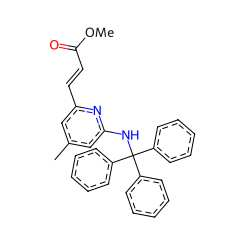 COC(=O)/C=C/c1cc(C)cc(NC(c2ccccc2)(c2ccccc2)c2ccccc2)n1